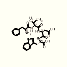 CC(C)[C@H](NC(=O)[C@@H](N)Cc1ccccc1)C(=O)N[C@@H](CC(=O)O)C(=O)N[C@@H](Cc1c[nH]c2ccccc12)C(=O)O